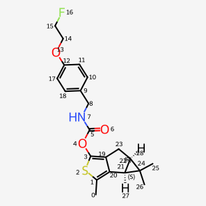 Cc1sc(OC(=O)NCc2ccc(OCCF)cc2)c2c1[C@H]1[C@@H](C2)C1(C)C